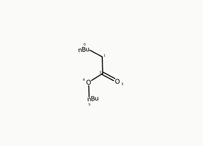 [CH2]CCCCC(=O)OCCCC